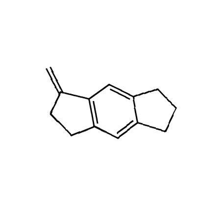 C=C1CCc2cc3c(cc21)CCC3